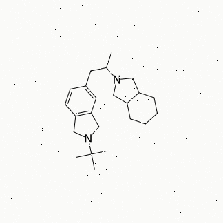 CC(Cc1ccc2c(c1)CN(C(C)(C)C)C2)N1CC2CCCCC2C1